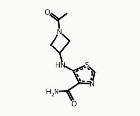 CC(=O)N1CC(Nc2scnc2C(N)=O)C1